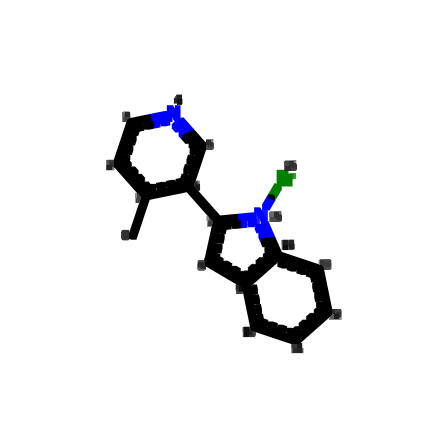 Cc1ccncc1-c1cc2ccccc2n1Br